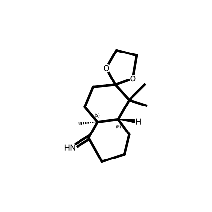 CC1(C)[C@@H]2CCCC(=N)[C@@]2(C)CCC12OCCO2